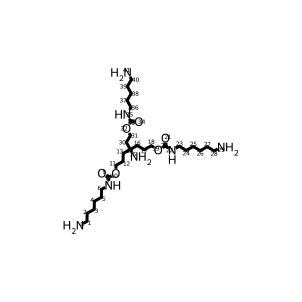 NCCCCCCNC(=O)OCCCC(N)(CCCOC(=O)NCCCCCCN)CCOC(=O)NCCCCCN